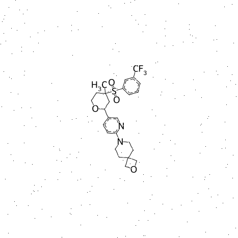 CC1(S(=O)(=O)c2cccc(C(F)(F)F)c2)CCOC(c2ccc(N3CCC4(CC3)COC4)nc2)C1